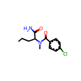 CCCC(C(N)=O)N(C)C(=O)c1ccc(Cl)cc1